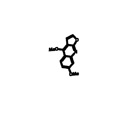 COc1ccc2c(OC)c3ccoc3nc2c1